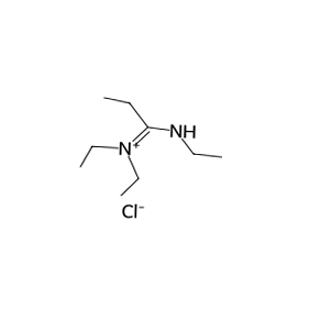 CCNC(CC)=[N+](CC)CC.[Cl-]